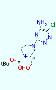 CC(C)(C)OC(=O)N1CCN(c2nnc(Cl)c(N)n2)C[C@@H]1CO